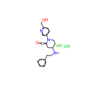 CN(CCc1ccccc1)C1CCN(c2ccc(CO)nc2)C(=C=O)C1.Cl.Cl